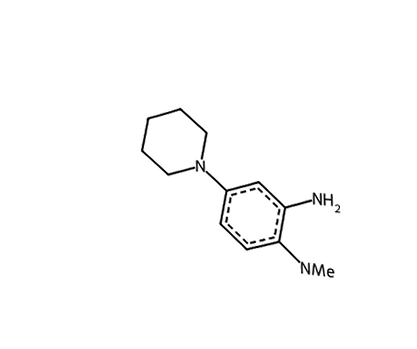 CNc1ccc(N2CCCCC2)cc1N